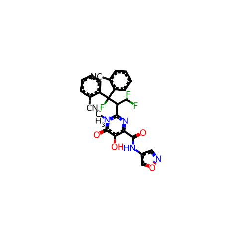 Cn1c(C(C(F)F)C(F)(c2ccccc2C#N)c2ccccc2C#N)nc(C(=O)Nc2cnoc2)c(O)c1=O